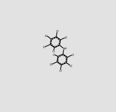 Clc1c(Cl)c(Cl)c(Nc2c(Cl)c(Cl)c(Cl)c(Cl)c2Cl)c(Cl)c1Cl